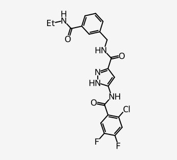 CCNC(=O)c1cccc(CNC(=O)c2cc(NC(=O)c3cc(F)c(F)cc3Cl)[nH]n2)c1